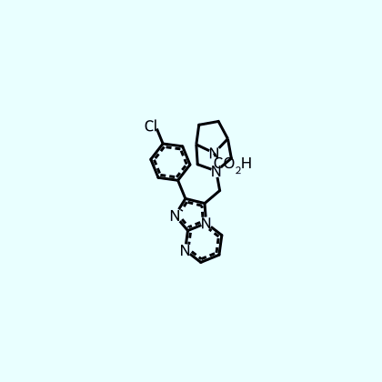 O=C(O)N1C2CCC1CN(Cc1c(-c3ccc(Cl)cc3)nc3ncccn13)C2